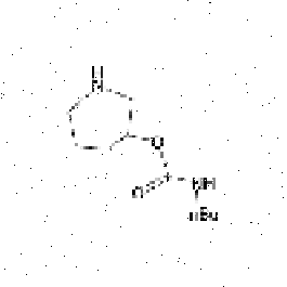 CCCCNC(=O)OC1CCCNC1